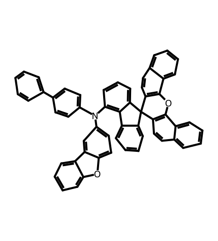 c1ccc(-c2ccc(N(c3ccc4oc5ccccc5c4c3)c3cccc4c3-c3ccccc3C43c4ccc5ccccc5c4Oc4c3ccc3ccccc43)cc2)cc1